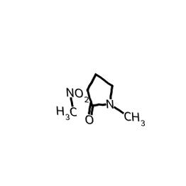 CN1CCCC1=O.C[N+](=O)[O-]